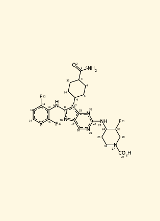 NC(=O)C1CCC(n2c(Nc3c(F)cccc3F)nc3cnc(NC4CCN(C(=O)O)CC4F)nc32)CC1